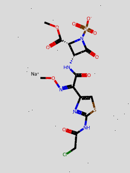 CON=C(C(=O)N[C@H]1C(=O)N(S(=O)(=O)[O-])[C@H]1C(=O)OC)c1csc(NC(=O)CCl)n1.[Na+]